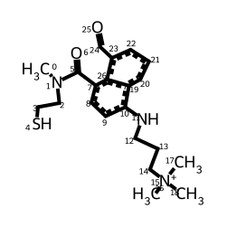 CN(CCS)C(=O)c1ccc(NCCC[N+](C)(C)C)c2cccc(C=O)c12